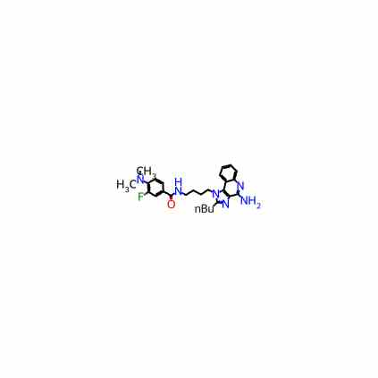 CCCCc1nc2c(N)nc3ccccc3c2n1CCCCNC(=O)c1ccc(N(C)C)c(F)c1